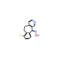 ON=C1c2cnccc2CCc2c(F)cccc21